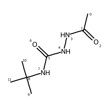 CC(=O)NNC(=O)NC(C)(C)C